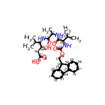 CC(C)[C@@H](NC(=O)[C@@H](C)NC(=O)[C@H](NC(=O)OCC1c2ccccc2-c2ccccc21)C(C)C)[C@@H](O)CC(=O)O